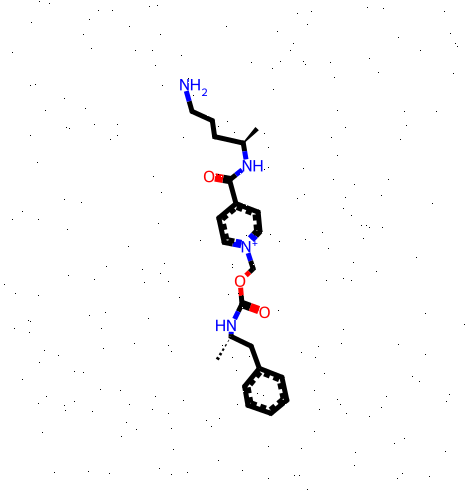 C[C@H](CCCN)NC(=O)c1cc[n+](COC(=O)N[C@@H](C)Cc2ccccc2)cc1